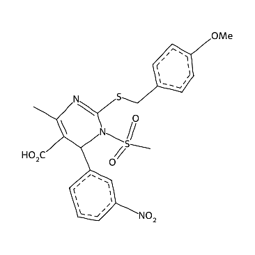 COc1ccc(CSC2=NC(C)=C(C(=O)O)C(c3cccc([N+](=O)[O-])c3)N2S(C)(=O)=O)cc1